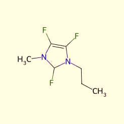 CCCN1C(F)=C(F)N(C)C1F